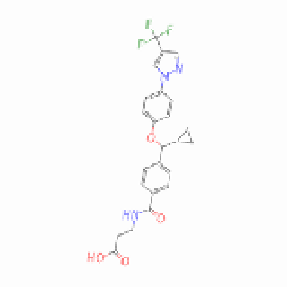 O=C(O)CCNC(=O)c1ccc(C(Oc2ccc(-n3cc(C(F)(F)F)cn3)cc2)C2CC2)cc1